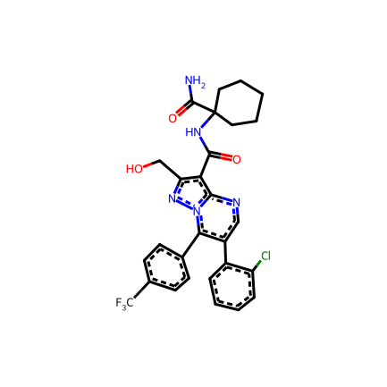 NC(=O)C1(NC(=O)c2c(CO)nn3c(-c4ccc(C(F)(F)F)cc4)c(-c4ccccc4Cl)cnc23)CCCCC1